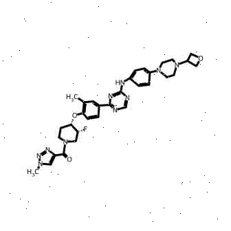 Cc1cc(-c2ncnc(Nc3ccc(N4CCN(C5COC5)CC4)cc3)n2)ccc1O[C@H]1CCN(C(=O)c2cn(C)nn2)C[C@H]1F